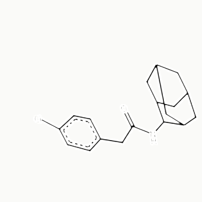 O=C(Cc1ccc(Cl)cc1)NC1C2CC3CC(C2)CC1C3